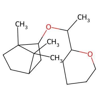 CC(OC1CC2CCC1(C)C2(C)C)C1CCCCO1